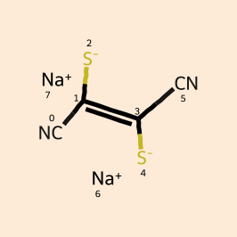 N#CC([S-])=C([S-])C#N.[Na+].[Na+]